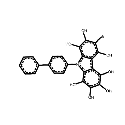 Oc1c(O)c(O)c2c(c1O)c1c(O)c(Br)c(O)c(O)c1n2-c1ccc(-c2ccccc2)cc1